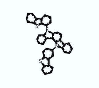 c1ccc2c(c1)sc1ccc(-n3c4ccccc4c4ccc5c(c6ccccc6n5-c5cccc6c5sc5ccccc56)c43)cc12